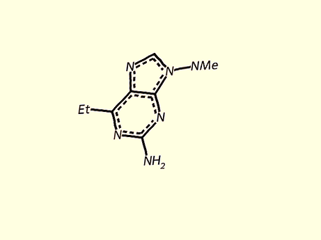 CCc1nc(N)nc2c1ncn2NC